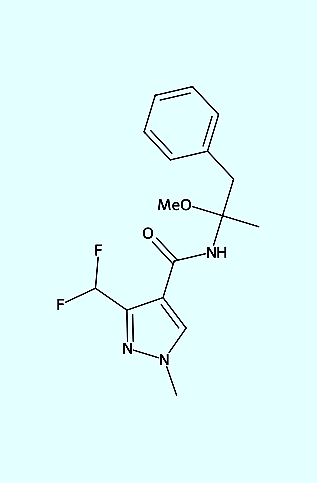 COC(C)(Cc1ccccc1)NC(=O)c1cn(C)nc1C(F)F